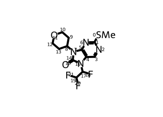 CSc1ncc2c(n1)n(C1CCOCC1)c(=O)n2C(F)C(F)F